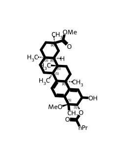 CCCC(=O)O[C@H]1C(O)C=C2C(=CC=C3[C@@]2(C)CC[C@@]2(C)[C@@H]4C[C@](C)(C(=O)OC)CC[C@]4(C)CC[C@]32C)[C@]1(C)OC